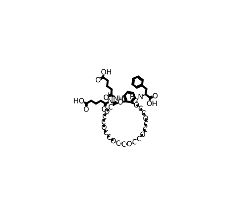 N[C@@H](Cc1ccccc1)C(=O)O.O=C(O)CCCC(=O)NC1(NC(=O)CCCC(=O)O)COCCOCCOCCOCCOCCOCCOc2ccccc2O1